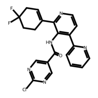 O=C(Nc1c(-c2ccccn2)ccnc1C1=CCC(F)(F)CC1)c1cnc(Cl)nc1